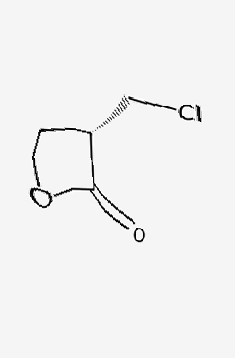 O=C1OC[C@@H]1CCl